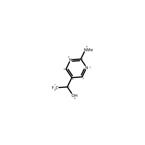 CNc1ncc(C(O)C(F)(F)F)cn1